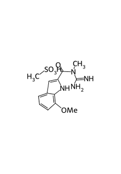 COc1cccc2cc(C(=O)N(C)C(=N)N)[nH]c12.CS(=O)(=O)O